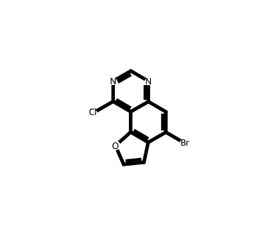 Clc1ncnc2cc(Br)c3ccoc3c12